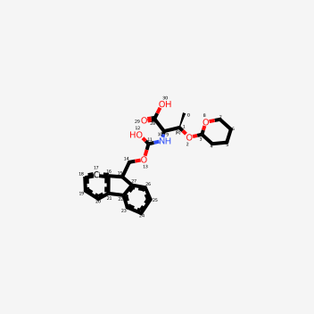 C[C@@H](OC1CCCCO1)C(NC(O)OCC1c2ccccc2-c2ccccc21)C(=O)O